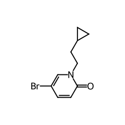 O=c1ccc(Br)cn1CCC1CC1